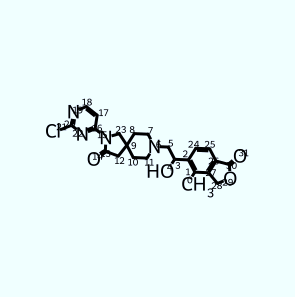 Cc1c(C(O)CN2CCC3(CC2)CC(=O)N(c2ccnc(Cl)n2)C3)ccc2c1COC2=O